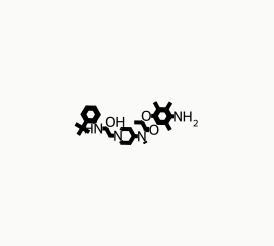 Cc1cc(OC(C)C(=O)N(C)C2CCN(CC(O)Nc3ccccc3C(C)(C)C)CC2)c(C)c(C)c1N